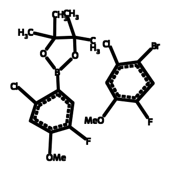 COc1cc(Cl)c(B2OC(C)(C)C(C)(C)O2)cc1F.COc1cc(Cl)c(Br)cc1F